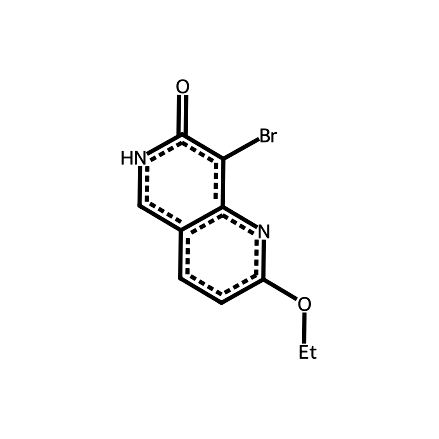 CCOc1ccc2c[nH]c(=O)c(Br)c2n1